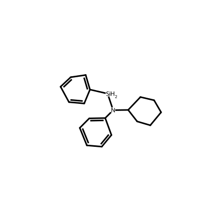 c1ccc([SiH2]N(c2ccccc2)C2CCCCC2)cc1